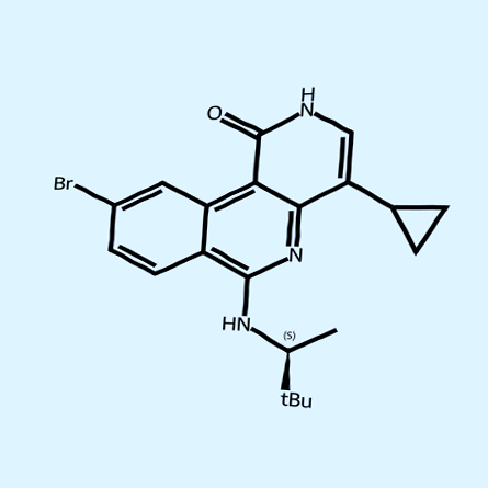 C[C@H](Nc1nc2c(C3CC3)c[nH]c(=O)c2c2cc(Br)ccc12)C(C)(C)C